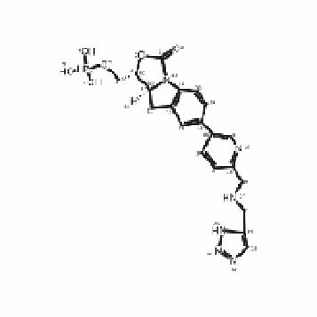 O=C1O[C@@H](CO[PH](O)(O)O)[C@@H]2Cc3cc(-c4ccc(CNCc5cnn[nH]5)nc4)ccc3N12